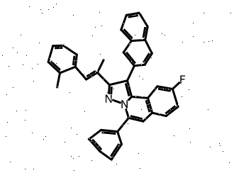 C/C(=C\c1ccccc1C)c1nn2c(-c3ccccc3)cc3ccc(F)cc3c2c1-c1ccc2ccccc2c1